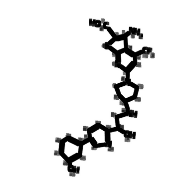 Nc1c(C(=O)O)sc2nc(N3CCC(NCC(O)c4ccc(-c5cccc(O)c5)cn4)CC3)cc(C(F)(F)F)c12